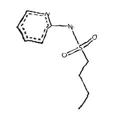 CCCCS(=O)(=O)[N]c1ccccn1